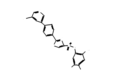 COc1cc(C(=O)O)c(F)cc1NS(=O)(=O)c1csc(-c2ccc(-c3cncc(F)c3)cc2)n1